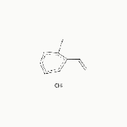 C=Cc1ccccc1C.[CH]